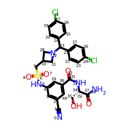 N#Cc1cc(NS(=O)(=O)CC2CN(C(c3ccc(Cl)cc3)c3ccc(Cl)cc3)C2)cc(C(=O)N[C@@H](CO)C(N)=O)c1